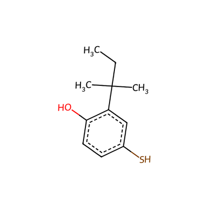 CCC(C)(C)c1cc(S)ccc1O